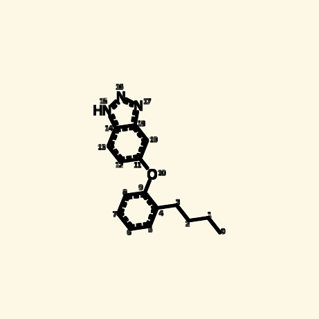 CCCCc1ccccc1Oc1ccc2[nH]nnc2c1